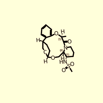 C[C@@H]1Oc2ccccc2[C@H]2CC[C@H](CC2)OC[C@H]2[C@@H](NS(C)(=O)=O)CCCN2C1=O